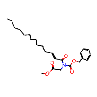 CCCCCCCCCCCC=CC(=O)N(CC(=O)OC)C(=O)OCc1ccccc1